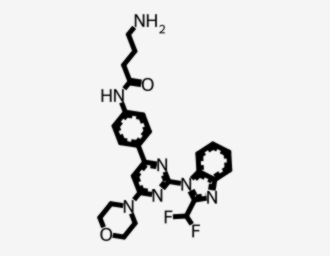 NCCCC(=O)Nc1ccc(-c2cc(N3CCOCC3)nc(-n3c(C(F)F)nc4ccccc43)n2)cc1